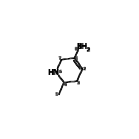 BC1=CCC(C)NC1